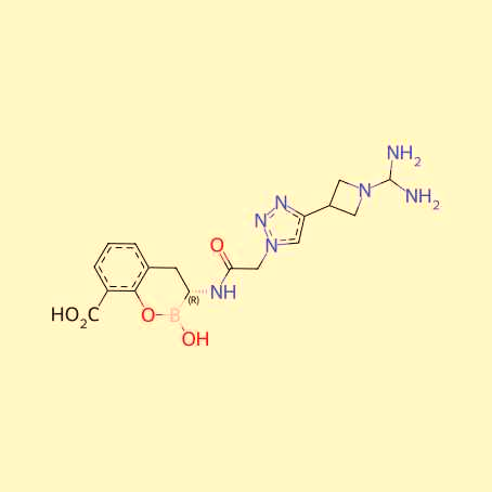 NC(N)N1CC(c2cn(CC(=O)N[C@H]3Cc4cccc(C(=O)O)c4OB3O)nn2)C1